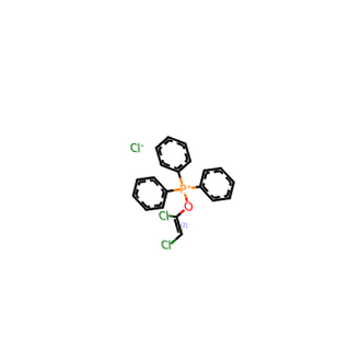 Cl/C=C(\Cl)O[P+](c1ccccc1)(c1ccccc1)c1ccccc1.[Cl-]